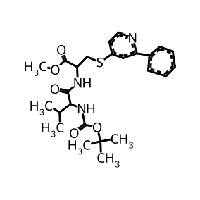 COC(=O)C(CSc1ccnc(-c2ccccc2)c1)NC(=O)C(NC(=O)OC(C)(C)C)C(C)C